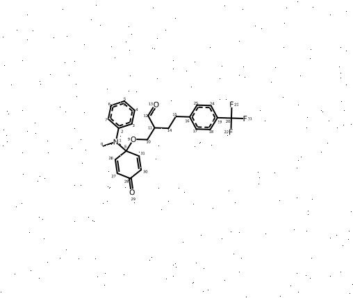 CN(c1ccccc1)C1(OCC(C=O)CCc2ccc(C(F)(F)F)cc2)C=CC(=O)C=C1